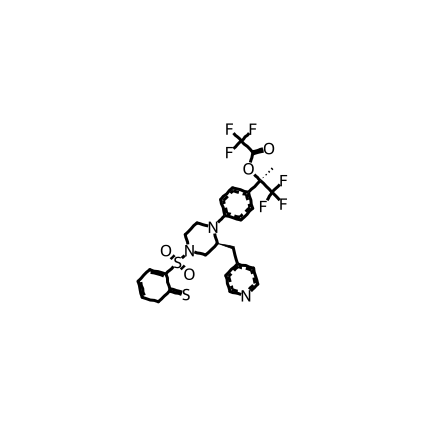 C[C@@](OC(=O)C(F)(F)F)(c1ccc(N2CCN(S(=O)(=O)C3=CC=CCC3=S)C[C@@H]2Cc2ccncc2)cc1)C(F)(F)F